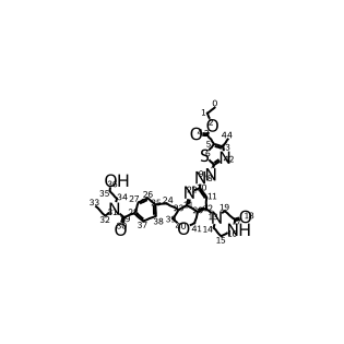 CCOC(=O)c1sc(N=Nc2cc(N3CCNC(=O)C3)c3c(n2)C(Cc2ccc(C(=O)N(CC)CCO)cc2)COC3)nc1C